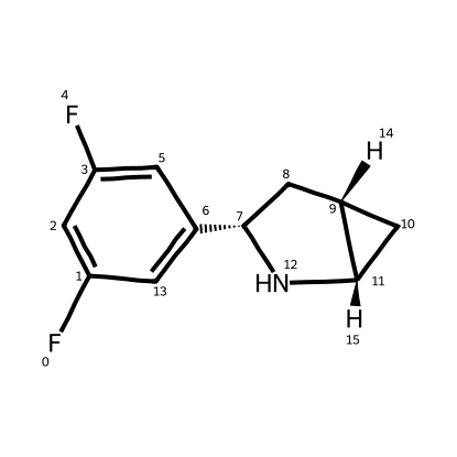 Fc1cc(F)cc([C@@H]2C[C@@H]3C[C@@H]3N2)c1